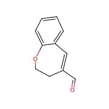 O=CC1=Cc2ccccc2OCC1